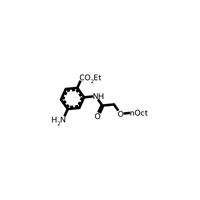 CCCCCCCCOCC(=O)Nc1cc(N)ccc1C(=O)OCC